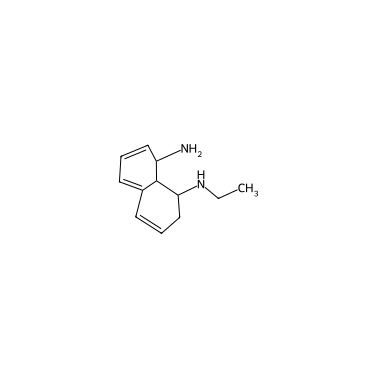 CCNC1CC=CC2=CC=CC(N)C21